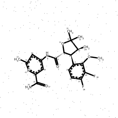 COc1c([C@H]2[C@H](C(=O)Nc3cc(C)nc(C(N)=O)c3)OC(C)(C)[C@H]2C)ccc(F)c1F